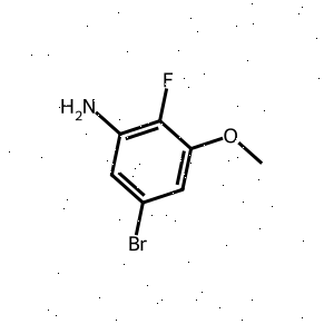 COc1cc(Br)cc(N)c1F